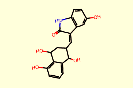 O=C1Nc2ccc(O)cc2C1=CC1CC(O)c2c(O)cccc2C1O